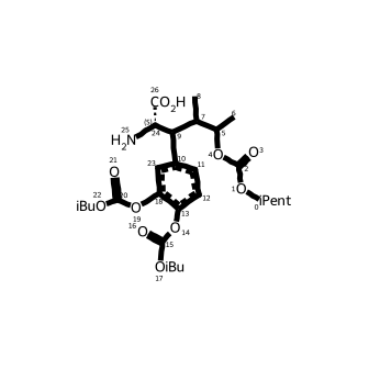 CCCC(C)OC(=O)OC(C)C(C)C(c1ccc(OC(=O)OCC(C)C)c(OC(=O)OCC(C)C)c1)[C@H](N)C(=O)O